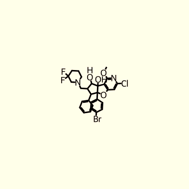 COc1nc(Cl)cc2c1C1(O)C(O)C(CN3CCCC(F)(F)C3)C(c3ccccc3)C1(c1ccc(Br)cc1)O2